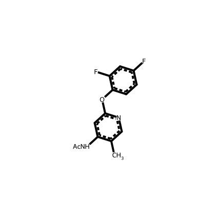 CC(=O)Nc1cc(Oc2ccc(F)cc2F)ncc1C